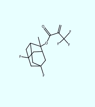 C=C(C(=O)OC1(C)C2CC3(F)CC1CC(F)(C2)C3)C(F)(F)F